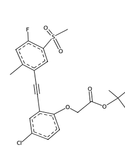 Cc1cc(F)c(S(C)(=O)=O)cc1C#Cc1cc(Cl)ccc1OCC(=O)OC(C)(C)C